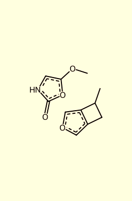 CC1Cc2cocc21.COc1c[nH]c(=O)o1